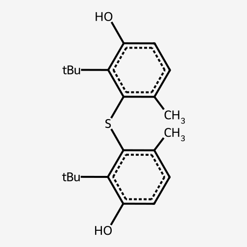 Cc1ccc(O)c(C(C)(C)C)c1Sc1c(C)ccc(O)c1C(C)(C)C